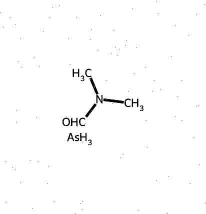 CN(C)C=O.[AsH3]